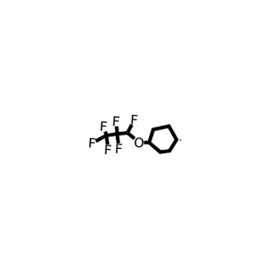 FC(OC1CC[CH]CC1)C(F)(F)C(F)(F)F